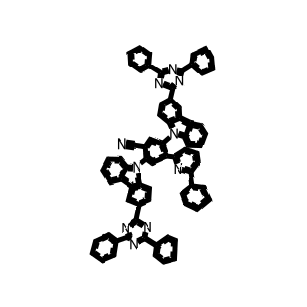 N#Cc1cc(-n2c3ccccc3c3cc(-c4nc(-c5ccccc5)nc(-c5ccccc5)n4)ccc32)c(-c2cccc(-c3ccccc3)n2)cc1-n1c2ccccc2c2cc(-c3nc(-c4ccccc4)nc(-c4ccccc4)n3)ccc21